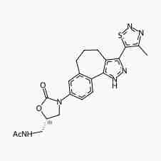 CC(=O)NC[C@H]1CN(c2ccc3c(c2)CCCc2c(-c4snnc4C)n[nH]c2-3)C(=O)O1